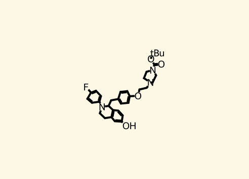 CC(C)(C)OC(=O)N1CCN(CCOc2ccc(CC3c4ccc(O)cc4CCN3c3ccc(F)cc3)cc2)CC1